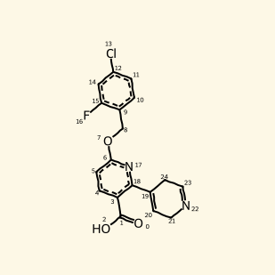 O=C(O)c1ccc(OCc2ccc(Cl)cc2F)nc1C1=CCN=CC1